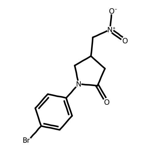 O=C1CC(C[N+](=O)[O-])CN1c1ccc(Br)cc1